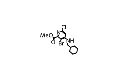 COC(=O)c1nc(Cl)cc(NCC2CCCCC2)c1Br